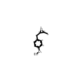 CCOc1ccc(CC2OC2C)cc1